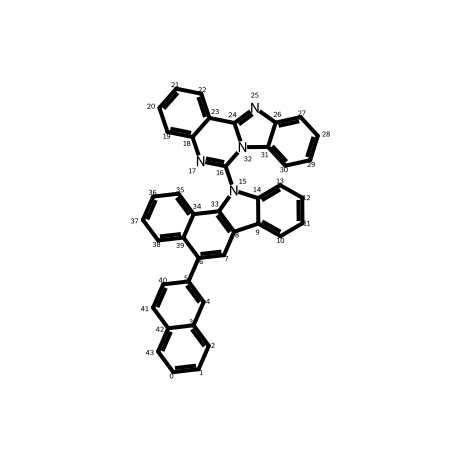 c1ccc2cc(-c3cc4c5ccccc5n(-c5nc6ccccc6c6nc7ccccc7n56)c4c4ccccc34)ccc2c1